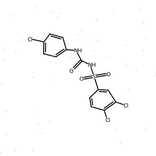 O=C(Nc1ccc(Cl)cc1)NS(=O)(=O)c1ccc(Cl)c(Cl)c1